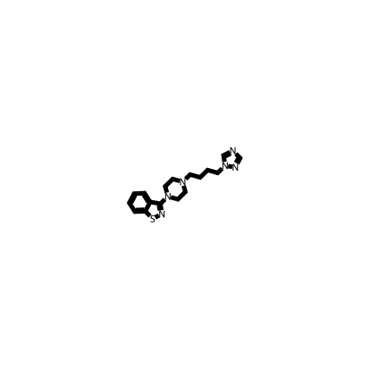 c1ccc2c(N3CCN(CCCCn4cncn4)CC3)nsc2c1